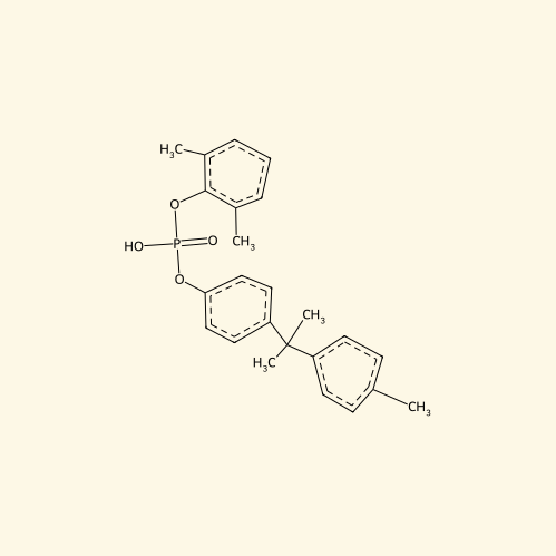 Cc1ccc(C(C)(C)c2ccc(OP(=O)(O)Oc3c(C)cccc3C)cc2)cc1